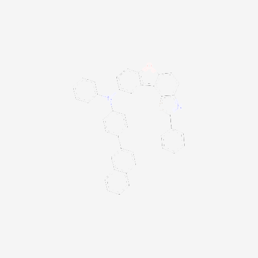 c1ccc(-c2nc3ccc4oc5ccc(N(c6ccccc6)c6ccc(-c7ccc8ccccc8c7)cc6)cc5c4c3s2)cc1